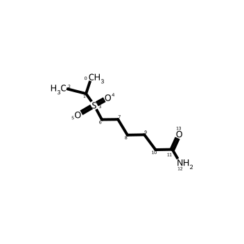 CC(C)S(=O)(=O)CCCCCC(N)=O